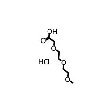 COCCOCCOCC(=O)O.Cl